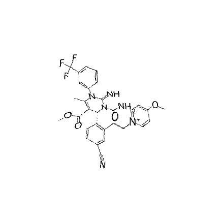 COC(=O)C1=C(C)N(c2cccc(C(F)(F)F)c2)C(=N)N(C(N)=O)[C@@H]1c1ccc(C#N)cc1CC[n+]1ccc(OC)cc1